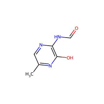 Cc1cnc(NC=O)c(O)n1